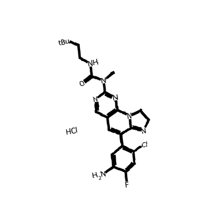 CN(C(=O)NCCC(C)(C)C)c1ncc2c(n1)N1CCN=C1C(c1cc(N)c(F)cc1Cl)=C2.Cl